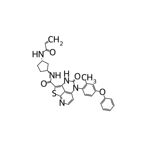 C=CC(=O)N[C@H]1CC[C@H](NC(=O)c2sc3nccc4c3c2NC(=O)N4c2ccc(Oc3ccccc3)cc2C)C1